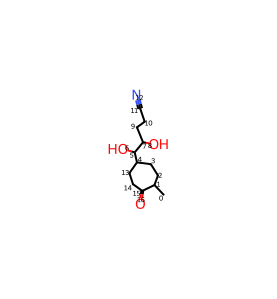 CC1CCC(C(O)C(O)CCC#N)CCC1=O